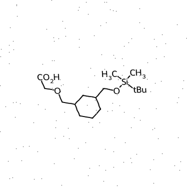 CC(C)(C)[Si](C)(C)OCC1CCCC(COCC(=O)O)C1